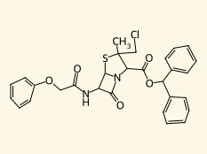 CC1(CCl)SC2C(NC(=O)COc3ccccc3)C(=O)N2C1C(=O)OC(c1ccccc1)c1ccccc1